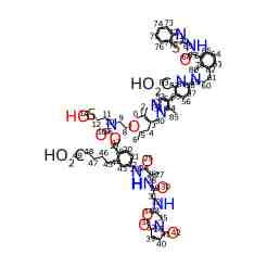 CC(C)=C(CC(C)OCCN(CCSO)C(=O)OCc1ccc(NC(=O)C(C)NC(=O)CNC(=O)CN2C(=O)C=CC2=O)cc1CCCCC(=O)O)Cn1ncc(-c2ccc(N3CCc4cccc(C(=O)Nc5nc6ccccc6s5)c4C3)nc2C(=O)O)c1C